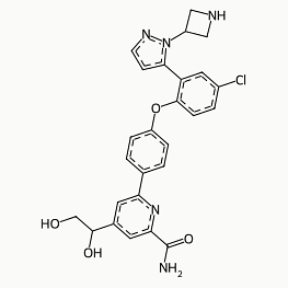 NC(=O)c1cc(C(O)CO)cc(-c2ccc(Oc3ccc(Cl)cc3-c3ccnn3C3CNC3)cc2)n1